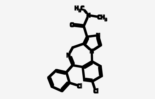 CN(C)C(=O)c1ncn2c1CN=C(c1ccccc1Cl)c1cc(Cl)ccc1-2